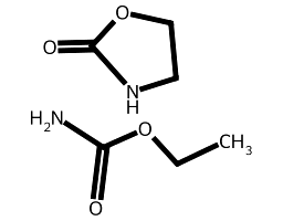 CCOC(N)=O.O=C1NCCO1